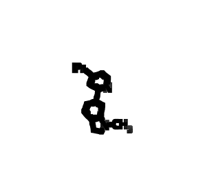 CC(C)c1ccnc(-c2ccc3c(c2)N(C)CC3)c1